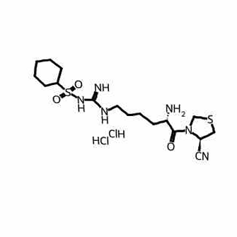 Cl.Cl.N#C[C@@H]1CSCN1C(=O)[C@@H](N)CCCCNC(=N)NS(=O)(=O)C1CCCCC1